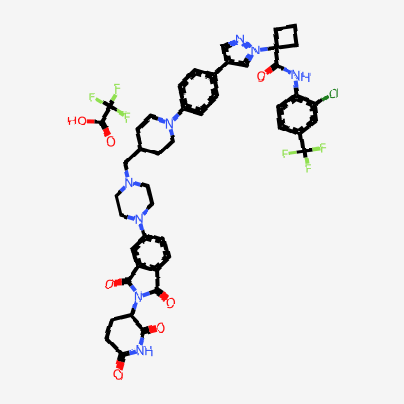 O=C(O)C(F)(F)F.O=C1CCC(N2C(=O)c3ccc(N4CCN(CC5CCN(c6ccc(-c7cnn(C8(C(=O)Nc9ccc(C(F)(F)F)cc9Cl)CCC8)c7)cc6)CC5)CC4)cc3C2=O)C(=O)N1